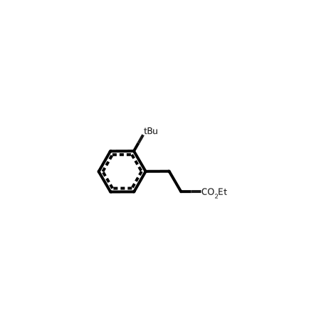 CCOC(=O)CCc1ccccc1C(C)(C)C